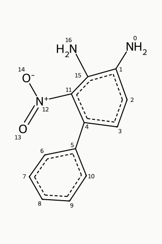 Nc1ccc(-c2ccccc2)c([N+](=O)[O-])c1N